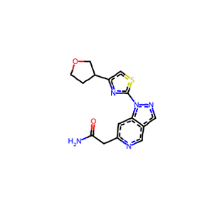 NC(=O)Cc1cc2c(cn1)cnn2-c1nc(C2CCOC2)cs1